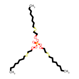 CCCCCCCCSCCOOP(=O)(OOCCSCCCCCCCC)OOCCSCCCCCCCC